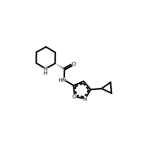 O=C(Nc1cc(C2CC2)no1)[C@H]1CCCCN1